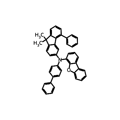 CC1(C)c2ccc(N(c3ccc(-c4ccccc4)cc3)c3cccc4c3oc3ccccc34)cc2-c2c(-c3ccccc3)cccc21